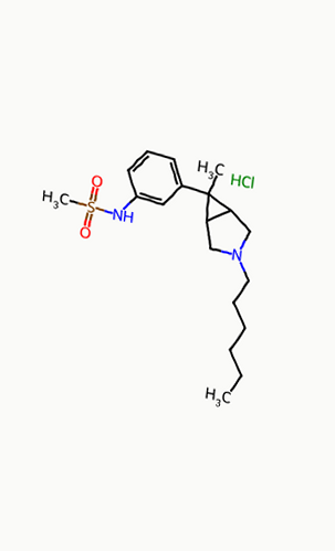 CCCCCCN1CC2C(C1)C2(C)c1cccc(NS(C)(=O)=O)c1.Cl